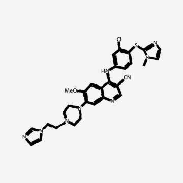 COc1cc2c(Nc3ccc(Sc4nccn4C)c(Cl)c3)c(C#N)cnc2cc1N1CCN(CCn2ccnc2)CC1